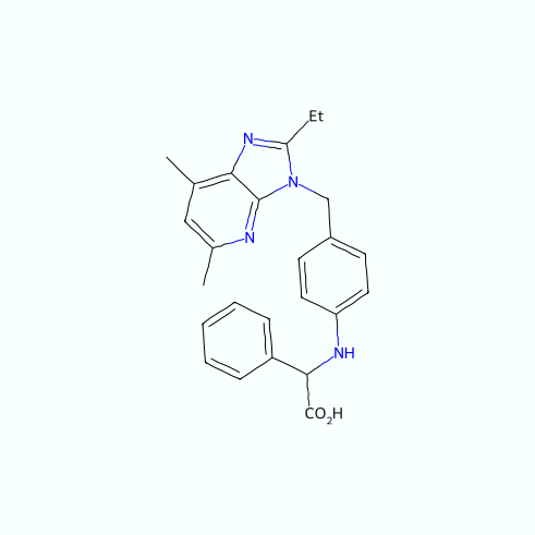 CCc1nc2c(C)cc(C)nc2n1Cc1ccc(NC(C(=O)O)c2ccccc2)cc1